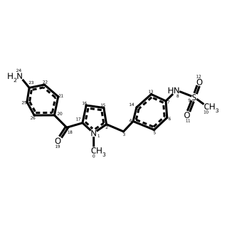 Cn1c(Cc2ccc(NS(C)(=O)=O)cc2)ccc1C(=O)c1ccc(N)cc1